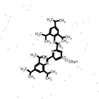 CC(=Nc1c(C(C)C)cc(C(C)C)cc1C(C)C)c1cccc(C(C)=Nc2c(C(C)C)cc(C(C)C)cc2C(C)C)n1.[Cl-].[Cl-].[Cl-].[Fe+3]